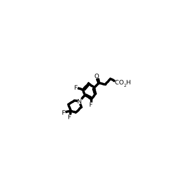 O=C(O)CCC(=O)c1cc(F)c(N2CCC(F)(F)CC2)c(F)c1